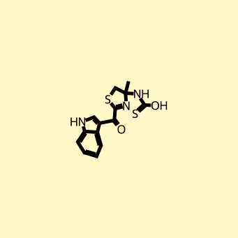 CC1(NC(O)=S)CSC(C(=O)c2c[nH]c3ccccc23)=N1